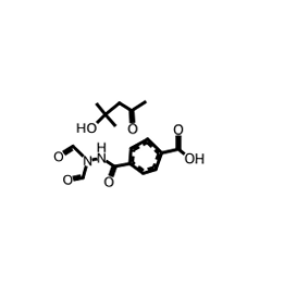 CC(=O)CC(C)(C)O.O=CN(C=O)NC(=O)c1ccc(C(=O)O)cc1